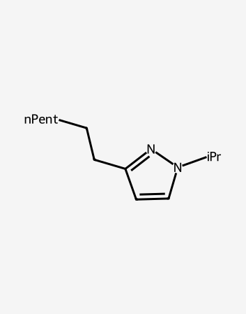 CCCCCCCc1ccn(C(C)C)n1